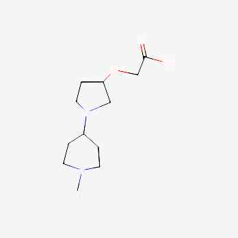 CN1CCC(N2CCC(OCC(=O)O)C2)CC1